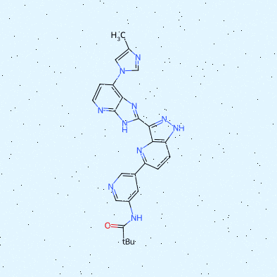 Cc1cn(-c2ccnc3[nH]c(-c4n[nH]c5ccc(-c6cncc(NC(=O)C(C)(C)C)c6)nc45)nc23)cn1